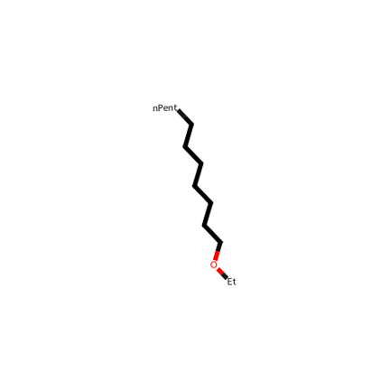 CCCCCCCCCCC[CH]OCC